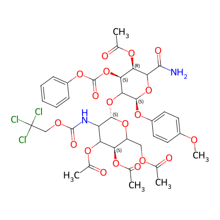 COc1ccc(O[C@@H]2OC(C(N)=O)[C@H](OC(C)=O)[C@H](OC(=O)Oc3ccccc3)C2O[C@@H]2OC(COC(C)=O)[C@@H](OC(C)=O)C(OC(C)=O)C2NC(=O)OCC(Cl)(Cl)Cl)cc1